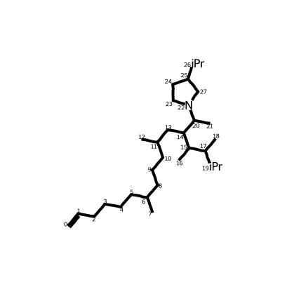 C=CCCCCC(C)CCCC(C)CC(C(C)C(C)C(C)C)C(C)N1CCC(C(C)C)C1